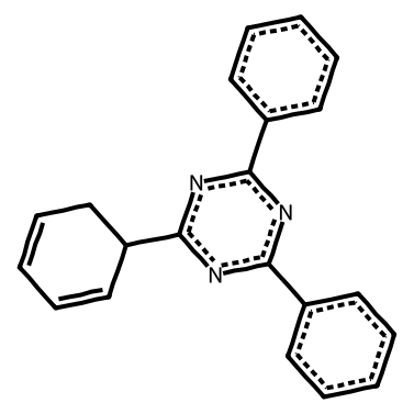 C1=CCC(c2nc(-c3ccccc3)nc(-c3ccccc3)n2)C=C1